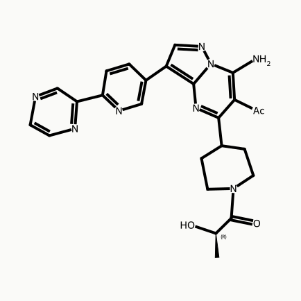 CC(=O)c1c(C2CCN(C(=O)[C@@H](C)O)CC2)nc2c(-c3ccc(-c4cnccn4)nc3)cnn2c1N